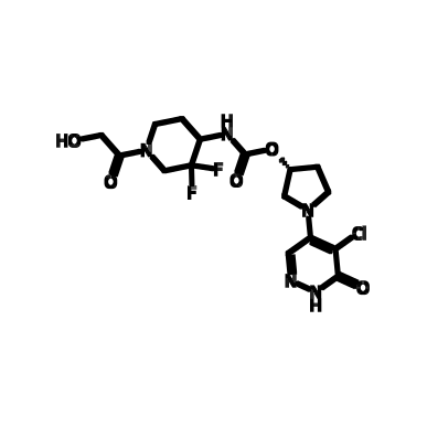 O=C(NC1CCN(C(=O)CO)CC1(F)F)O[C@@H]1CCN(c2cn[nH]c(=O)c2Cl)C1